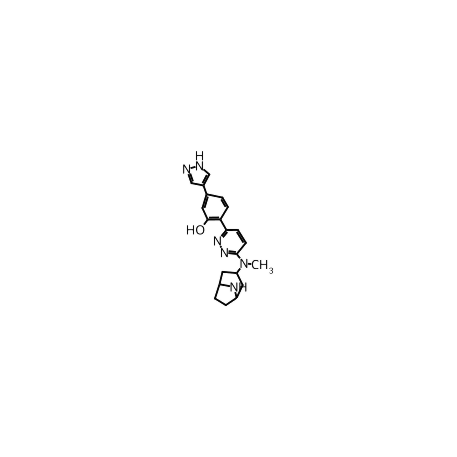 CN(c1ccc(-c2ccc(-c3cn[nH]c3)cc2O)nn1)C1CC2CCC(C1)N2